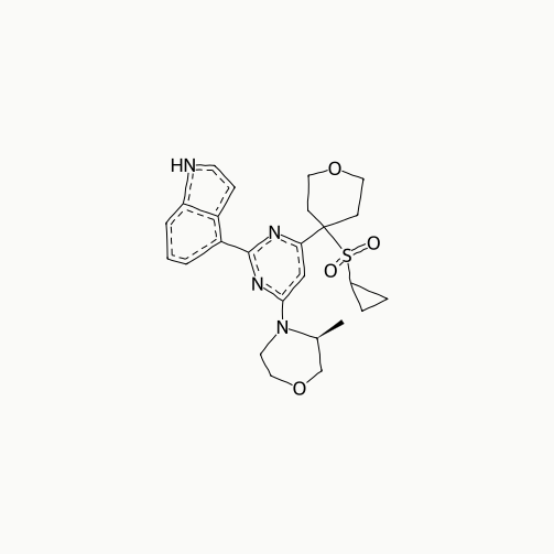 C[C@H]1COCCN1c1cc(C2(S(=O)(=O)C3CC3)CCOCC2)nc(-c2cccc3[nH]ccc23)n1